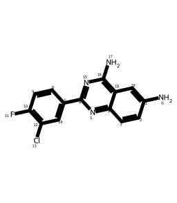 Nc1ccc2nc(-c3ccc(F)c(Cl)c3)nc(N)c2c1